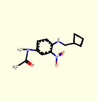 CC(=O)N(C)c1ccc(NCC2CCC2)c([N+](=O)[O-])c1